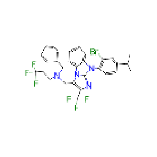 CC(C)c1ccc(-n2c3ccccc3n3c(CN(CCC(F)(F)F)Cc4ccccc4)c(C(F)(F)F)nc23)c(Br)c1